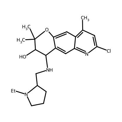 CCN1CCCC1CNC1c2cc3nc(Cl)cc(C)c3cc2OC(C)(C)C1O